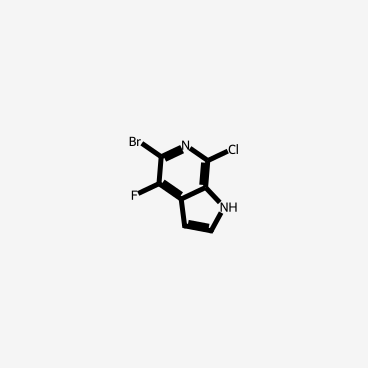 Fc1c(Br)nc(Cl)c2[nH]ccc12